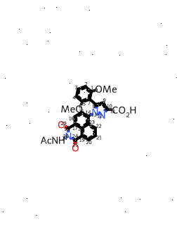 COc1cccc(OC)c1-c1cc(C(=O)O)nn1-c1ccc2c3c(cccc13)C(=O)N(NC(C)=O)C2=O